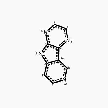 c1cc2sc3nccnc3c2cn1